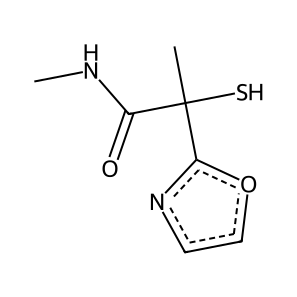 CNC(=O)C(C)(S)c1ncco1